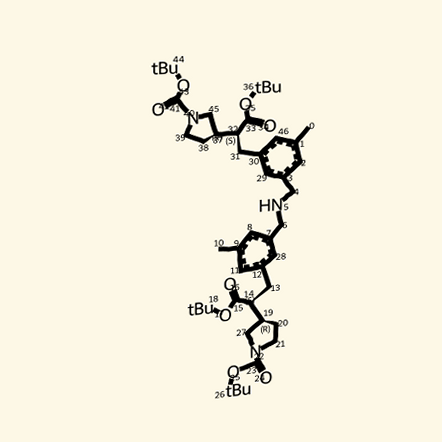 Cc1cc(CNCc2cc(C)cc(C[C@H](C(=O)OC(C)(C)C)[C@H]3CCN(C(=O)OC(C)(C)C)C3)c2)cc(C[C@H](C(=O)OC(C)(C)C)[C@H]2CCN(C(=O)OC(C)(C)C)C2)c1